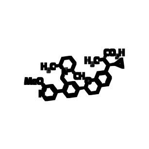 COc1cc(-c2ccc([C@@H]3CCc4ccc([C@H](C5CC5)[C@H](C)C(=O)O)cc4O3)cc2CN2[C@@H](C)CCC[C@@H]2C)ccn1